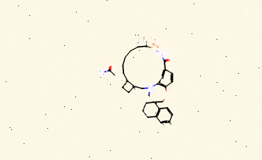 C[C@@H]1[C@@H](C)CCC[C@@H](CC(=O)N(C)C)[C@@H]2CC[C@H]2CN2C[C@@]3(CCCc4cc(Cl)ccc43)COc3ccc(cc32)C(=O)NS1(=O)=O